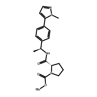 C[C@H](NC(=O)[C@@H]1CCCN1C(=O)OC(C)(C)C)c1ccc(-c2ccnn2C)cc1